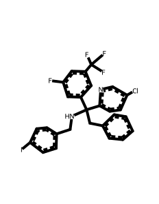 Fc1cc(C(F)(F)F)cc(C(Cc2ccccc2)(NCc2ccc(I)cc2)c2ccc(Cl)cn2)c1